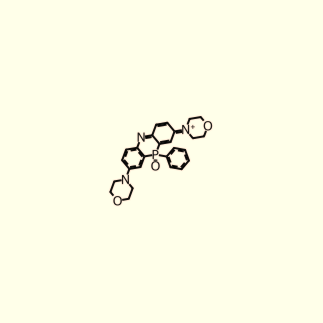 O=P1(c2ccccc2)C2=CC(=[N+]3CCOCC3)C=CC2=Nc2ccc(N3CCOCC3)cc21